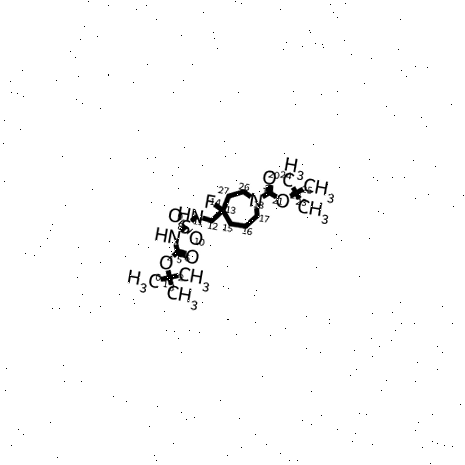 CC(C)(C)OC(=O)NS(=O)(=O)NCC1(F)CCCN(C(=O)OC(C)(C)C)CC1